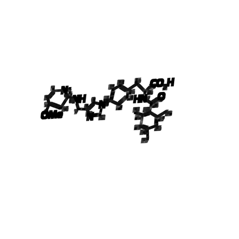 COc1ccnc(NCc2cn(-c3ccc(CC(NC(=O)c4c(C)cc(C)cc4C)C(=O)O)cc3)cn2)c1